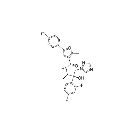 Cc1oc(-c2ccc(Cl)cc2)cc1C(=O)N[C@H](C)[C@](O)(Cn1cncn1)c1ccc(F)cc1F